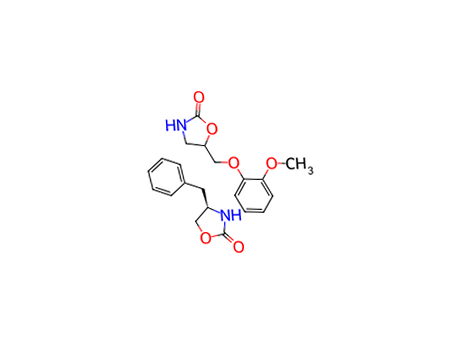 COc1ccccc1OCC1CNC(=O)O1.O=C1N[C@H](Cc2ccccc2)CO1